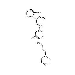 Cc1cc(NC=C2C(=O)Nc3ccccc32)ccc1NCCCN1CCOCC1